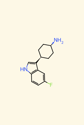 N[C@H]1CC[C@@H](c2c[nH]c3ccc(F)cc32)CC1